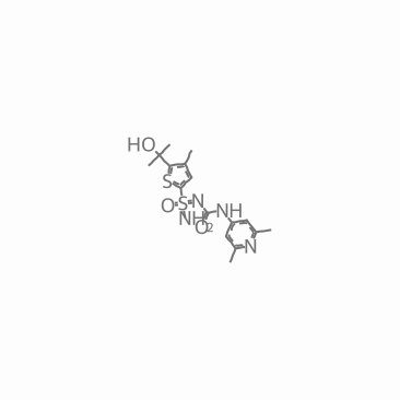 Cc1cc(NC(=O)N=S(N)(=O)c2cc(C)c(C(C)(C)O)s2)cc(C)n1